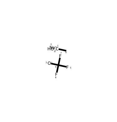 CC(=O)O.[Na+].[O-]C(F)(F)F